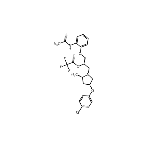 CC(=O)Nc1ccccc1OC[C@@H](CN1C[C@@H](Oc2ccc(Cl)cc2)C[C@H]1C)OC(=O)C(F)(F)F